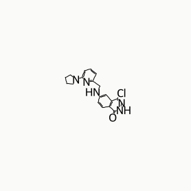 O=c1[nH]nc(Cl)c2cc(NCc3cccc(N4CCCC4)n3)ccc12